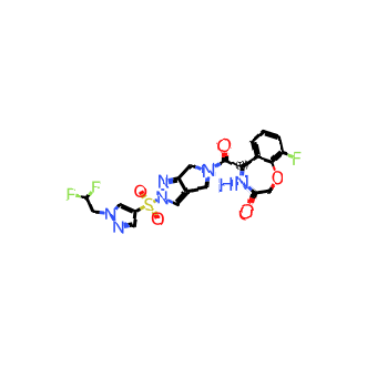 O=C1COc2c(F)cccc2[C@H](C(=O)N2Cc3cn(S(=O)(=O)c4cnn(CC(F)F)c4)nc3C2)N1